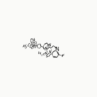 CN(c1nc(-c2ccc(F)cc2)cs1)c1c(/C=C/C#N)nc2ccc(C3=CCN(C(=O)OC(C)(C)C)CC3)cn12